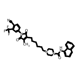 CC1=C(CCCCCCN2CCN(C(=O)Nc3cccc4ccccc34)CC2)C(=O)N(c2ccc(C#N)c(C(F)(F)F)c2)C1=O